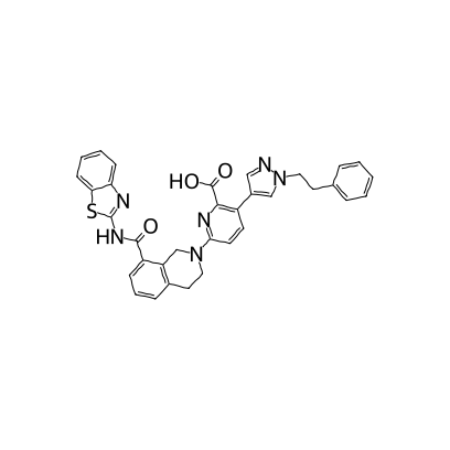 O=C(Nc1nc2ccccc2s1)c1cccc2c1CN(c1ccc(-c3cnn(CCc4ccccc4)c3)c(C(=O)O)n1)CC2